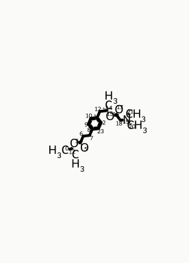 CC(C)OC(=O)CCc1ccc(CC(C)OC(=O)CN(C)C)cc1